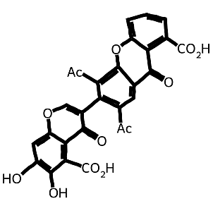 CC(=O)c1cc2c(=O)c3c(C(=O)O)cccc3oc2c(C(C)=O)c1-c1coc2cc(O)c(O)c(C(=O)O)c2c1=O